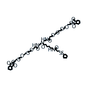 O=C(CCOCCOCCOCCOCCON1C(=O)c2ccccc2C1=O)NCCN(CCNC(=O)CCOCCOCCOCCOCCON1C(=O)c2ccccc2C1=O)C(=O)CCCCCNC(=O)CCSSc1ccccc1